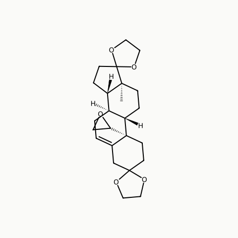 C[C@]12CC[C@H]3[C@@H](CC=C4CC5(CC[C@@]43C3CO3)OCCO5)[C@@H]1CCC21OCCO1